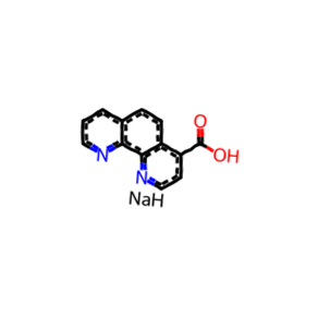 O=C(O)c1ccnc2c1ccc1cccnc12.[NaH]